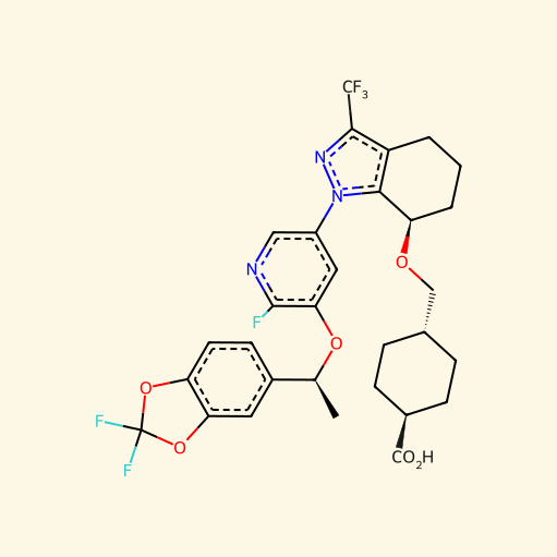 C[C@H](Oc1cc(-n2nc(C(F)(F)F)c3c2[C@H](OC[C@H]2CC[C@H](C(=O)O)CC2)CCC3)cnc1F)c1ccc2c(c1)OC(F)(F)O2